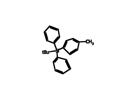 Cc1ccc([Si](c2ccccc2)(c2ccccc2)C(C)(C)C)cc1